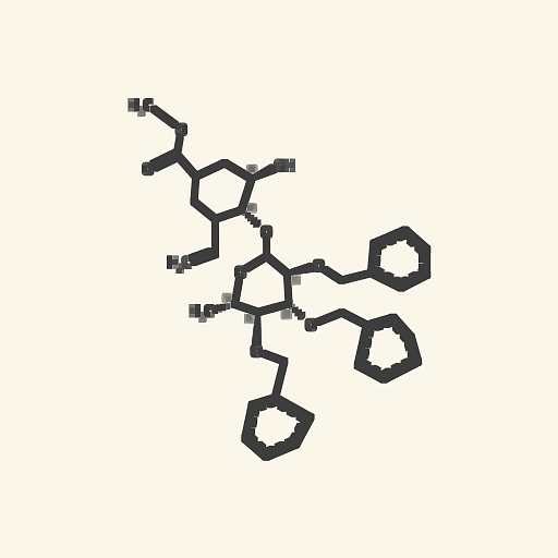 C=CC1CC(C(=O)OC)C[C@@H](O)[C@@H]1OC1O[C@@H](C)[C@H](OCc2ccccc2)[C@@H](OCc2ccccc2)[C@@H]1OCc1ccccc1